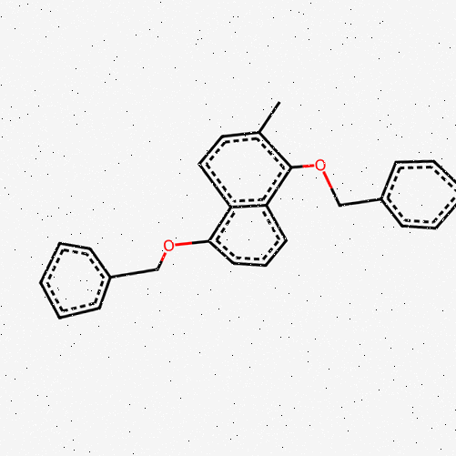 Cc1ccc2c(OCc3ccccc3)cccc2c1OCc1ccccc1